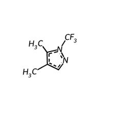 Cc1cnn(C(F)(F)F)c1C